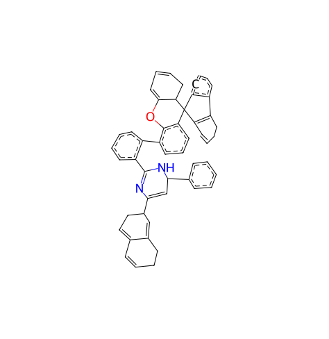 C1=CCC2C(=C1)Oc1c(-c3ccccc3C3=NC(C4C=C5CCC=CC5=CC4)=CC(c4ccccc4)N3)cccc1C21C2=C(CCC=C2)c2ccccc21